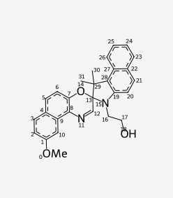 COc1ccc2ccc3c(c2c1)N=CC1(O3)N(CCO)c2ccc3ccccc3c2C1(C)C